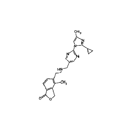 Cc1cn(-c2ncc(CNCCc3ccc4c(c3C)COC4=O)cn2)c(C2CC2)n1